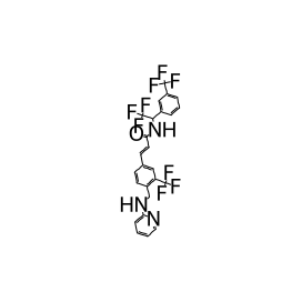 O=C(/C=C/c1ccc(CNc2ccccn2)c(C(F)(F)F)c1)NC(c1cccc(C(F)(F)F)c1)C(F)(F)F